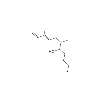 C=C/C(C)=C/CC(C)C(O)CCCC